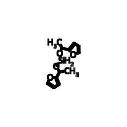 CC(O[SiH2]OC(C)c1ccco1)c1ccco1